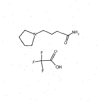 NC(=O)CCCN1CCCC1.O=C(O)C(F)(F)F